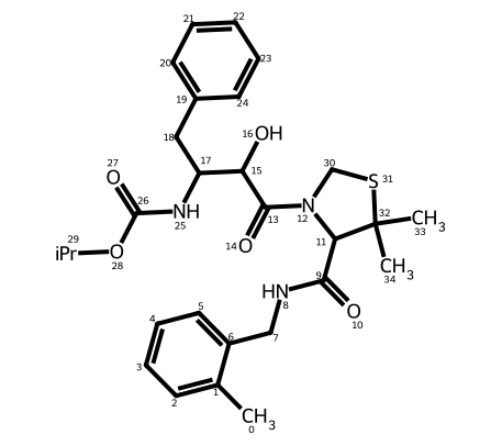 Cc1ccccc1CNC(=O)C1N(C(=O)C(O)C(Cc2ccccc2)NC(=O)OC(C)C)CSC1(C)C